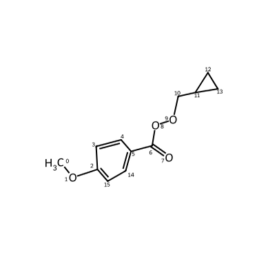 COc1ccc(C(=O)OOCC2CC2)cc1